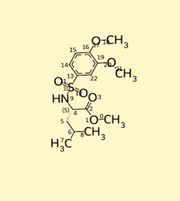 COC(=O)[C@H](CC(C)C)NS(=O)(=O)c1ccc(OC)c(OC)c1